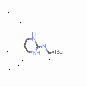 CC(C)(C)CN=C1NCCCN1